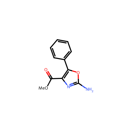 COC(=O)c1nc(N)oc1-c1ccccc1